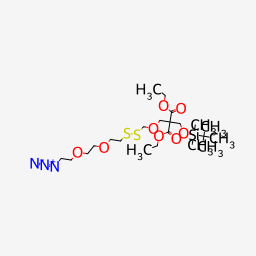 CCOC(=O)C(COCSSCCOCCOCCN=[N+]=[N-])(CO[Si](C)(C)C(C)(C)C)C(=O)OCC